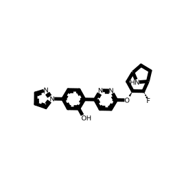 Oc1cc(-n2cccn2)ccc1-c1ccc(O[C@@H]2CC3CCC(N3)[C@@H]2F)nn1